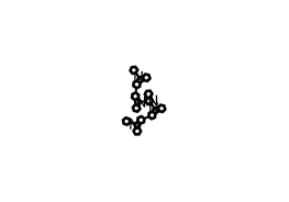 c1ccc(-n2c3ccccc3c3cc(-c4ccc5c6ccccc6n(-c6cc(-n7c8ccccc8c8ccc(-c9ccc%10c(c9)c9ccccc9n%10-c9ccccc9)cc87)c7ccccc7n6)c5c4)ccc32)cc1